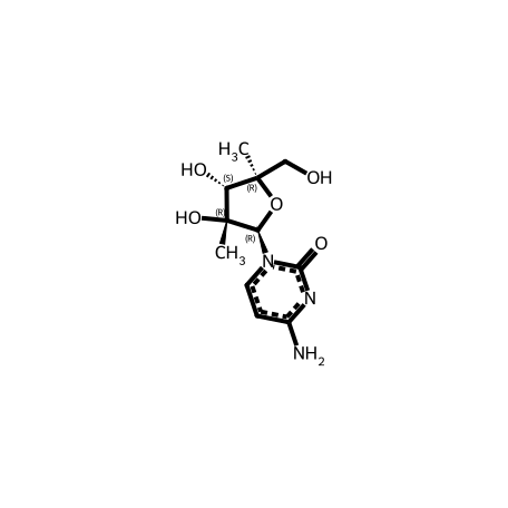 C[C@]1(O)[C@H](n2ccc(N)nc2=O)O[C@](C)(CO)[C@H]1O